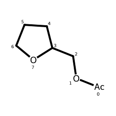 CC(=O)OCC1CCCO1